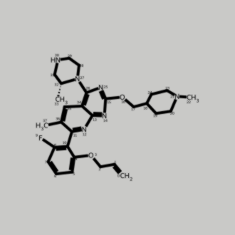 C=CCOc1cccc(F)c1-c1nc2nc(OCC3CCN(C)CC3)nc(N3CCNC[C@H]3C)c2cc1C